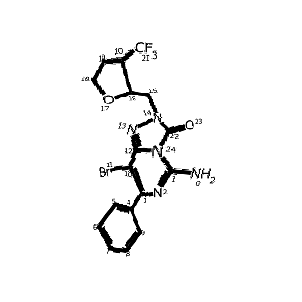 Nc1nc(-c2ccccc2)c(Br)c2nn(CC3OCCC3C(F)(F)F)c(=O)n12